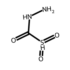 NNC(=O)[SH](=O)=O